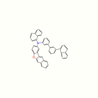 c1cc(-c2cccc(N(c3ccc4oc5cc6ccccc6cc5c4c3)c3cccc4ccccc34)c2)cc(-c2cccc3ccccc23)c1